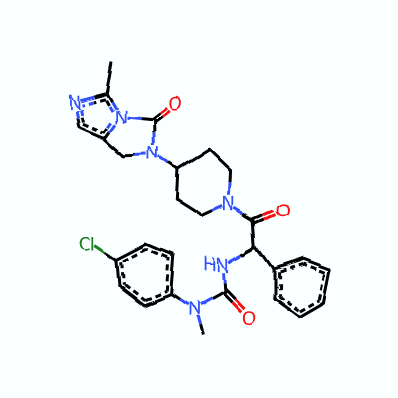 Cc1ncc2n1C(=O)N(C1CCN(C(=O)C(NC(=O)N(C)c3ccc(Cl)cc3)c3ccccc3)CC1)C2